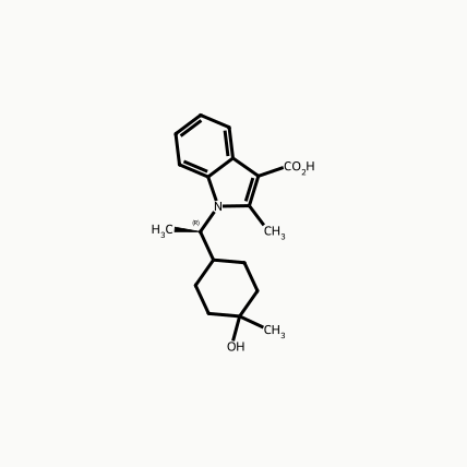 Cc1c(C(=O)O)c2ccccc2n1[C@H](C)C1CCC(C)(O)CC1